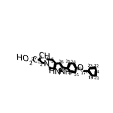 CC(CN1CCC2=C(C1)NNC(c1ccc(OCc3ccccc3)cc1)=C2)C(=O)O